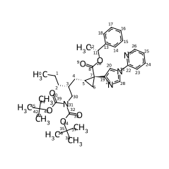 CCC[C@H](C[C@H]1C[C@]1(C(=O)O[C@H](C)c1ccccc1)c1cn(-c2ccccn2)cn1)CN(C(=O)OC(C)(C)C)C(=O)OC(C)(C)C